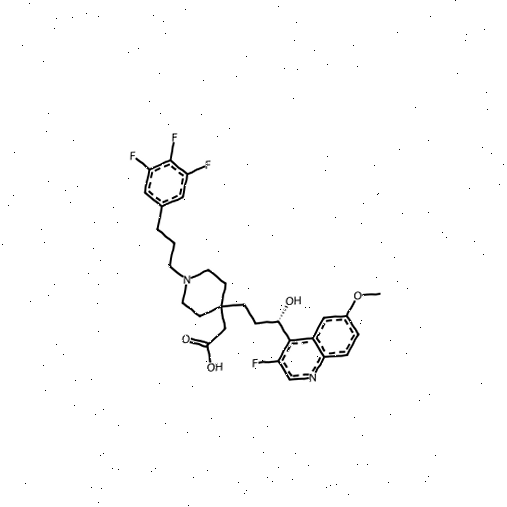 COc1ccc2ncc(F)c([C@@H](O)CCC3(CC(=O)O)CCN(CCCc4cc(F)c(F)c(F)c4)CC3)c2c1